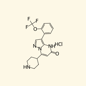 Cl.O=c1cc(C2CCNCC2)n2ncc(-c3ccccc3OC(F)(F)F)c2[nH]1